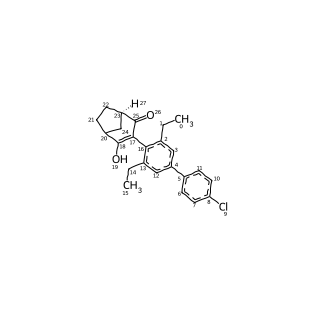 CCc1cc(-c2ccc(Cl)cc2)cc(CC)c1C1=C(O)C2CC[C@H](C2)C1=O